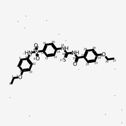 CCOc1ccc(NS(=O)(=O)c2ccc(NC(=S)NC(=O)c3ccc(OCC)cc3)cc2)cc1